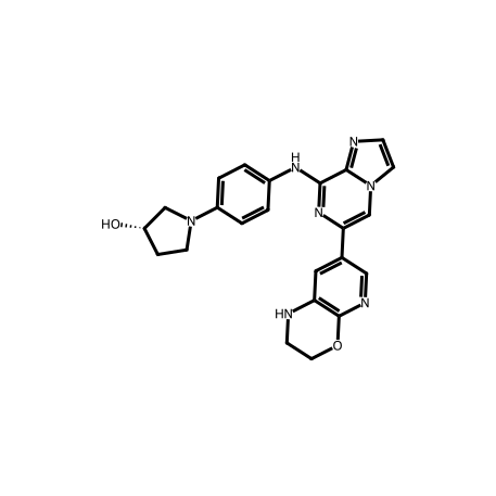 O[C@H]1CCN(c2ccc(Nc3nc(-c4cnc5c(c4)NCCO5)cn4ccnc34)cc2)C1